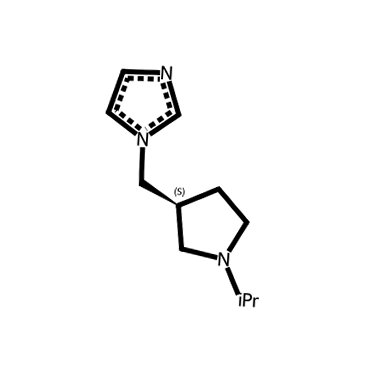 CC(C)N1CC[C@H](Cn2ccnc2)C1